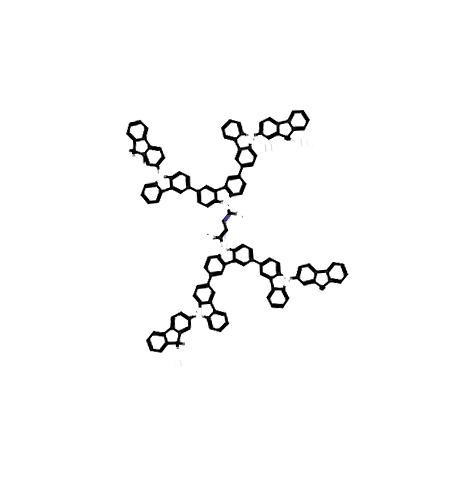 CC1(C)c2ccccc2-c2ccc(-n3c4ccccc4c4cc(-c5ccc6c(c5)c5cc(-c7ccc8c(c7)c7ccccc7n8-c7ccc8c(c7)C(C)(C)c7ccccc7-8)ccc5n6/C(N)=C/C=C(\N)n5c6ccc(-c7ccc8c(c7)c7ccccc7n8-c7ccc8c(c7)C(C)(C)c7ccccc7-8)cc6c6cc(-c7ccc8c(c7)c7ccccc7n8-c7ccc8c(c7)C(C)(C)c7ccccc7-8)ccc65)ccc43)cc21